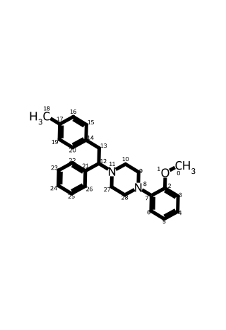 COc1ccccc1N1CCN(C(Cc2ccc(C)cc2)c2ccccc2)CC1